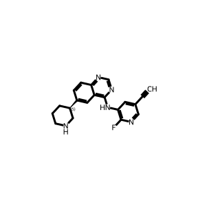 C#Cc1cnc(F)c(Nc2ncnc3ccc([C@@H]4CCCNC4)cc23)c1